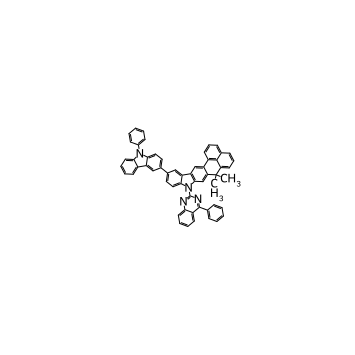 CC1(C)c2cc3c(cc2-c2cccc4cccc1c24)c1cc(-c2ccc4c(c2)c2ccccc2n4-c2ccccc2)ccc1n3-c1nc(-c2ccccc2)c2ccccc2n1